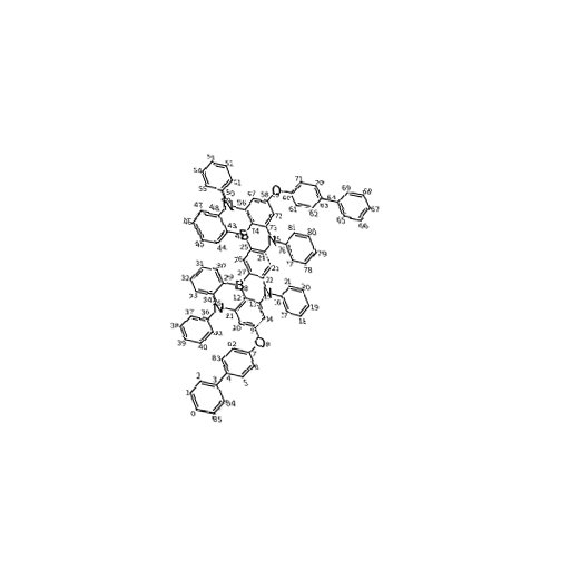 c1ccc(-c2ccc(Oc3cc4c5c(c3)N(c3ccccc3)c3cc6c(cc3B5c3ccccc3N4c3ccccc3)B3c4ccccc4N(c4ccccc4)c4cc(Oc5ccc(-c7ccccc7)cc5)cc(c43)N6c3ccccc3)cc2)cc1